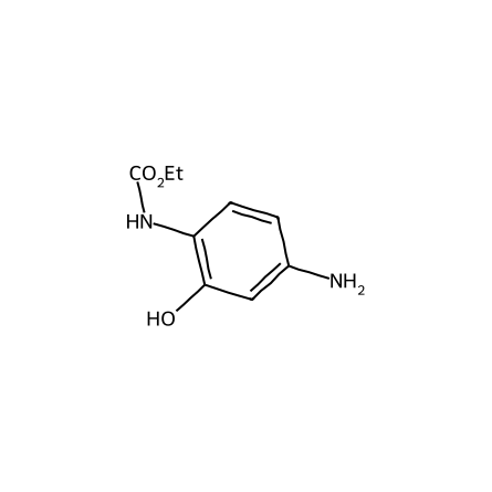 CCOC(=O)Nc1ccc(N)cc1O